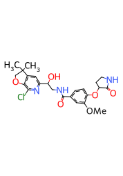 COc1cc(C(=O)NCC(O)c2cc3c(c(Cl)n2)OCC3(C)C)ccc1OC1CCNC1=O